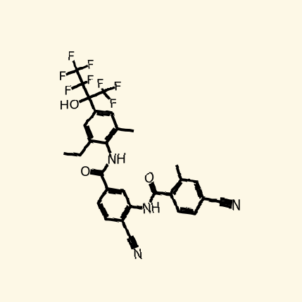 CCc1cc(C(O)(C(F)(F)F)C(F)(F)C(F)(F)F)cc(C)c1NC(=O)c1ccc(C#N)c(NC(=O)c2ccc(C#N)cc2C)c1